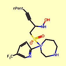 CCCCCC#CC(CS(=O)(=O)[N+]1(c2ccc(C(F)(F)F)cn2)CCCNCC1)NO